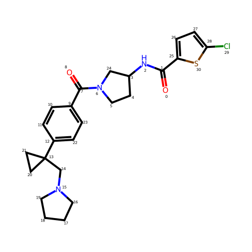 O=C(NC1CCN(C(=O)c2ccc(C3(CN4CCCC4)CC3)cc2)C1)c1ccc(Cl)s1